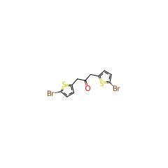 O=C(Cc1ccc(Br)s1)Cc1ccc(Br)s1